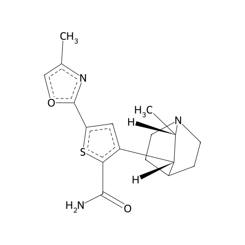 Cc1coc(-c2cc([C@H]3C4CCN(CC4)[C@H]3C)c(C(N)=O)s2)n1